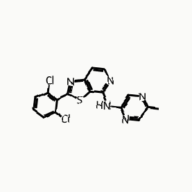 Cc1cnc(Nc2nccc3nc(-c4c(Cl)cccc4Cl)sc23)cn1